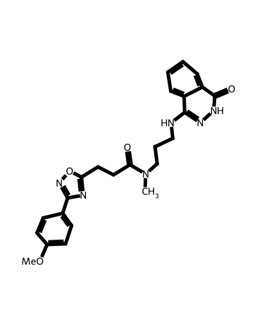 COc1ccc(-c2noc(CCC(=O)N(C)CCCNc3n[nH]c(=O)c4ccccc34)n2)cc1